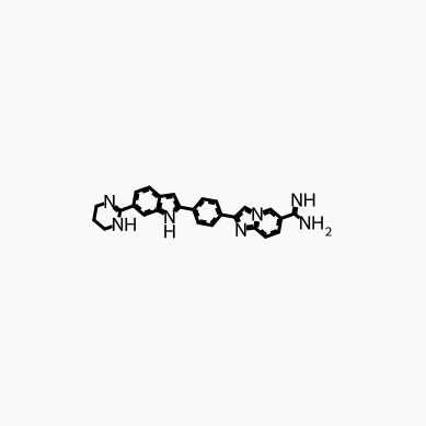 N=C(N)c1ccc2nc(-c3ccc(-c4cc5ccc(C6=NCCCN6)cc5[nH]4)cc3)cn2c1